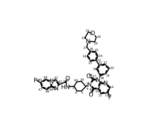 O=C(NC1CCC(n2c(=O)c3cc(F)cnc3n(-c3cccc(-c4ccc(CN5CCOCC5)cc4)c3)c2=O)CC1)c1cn2cc(F)ccc2n1